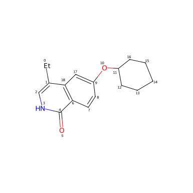 CCc1c[nH]c(=O)c2ccc(OC3CCCCC3)cc12